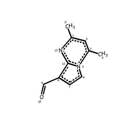 Cc1cc(C)n2ccc(C=O)c2n1